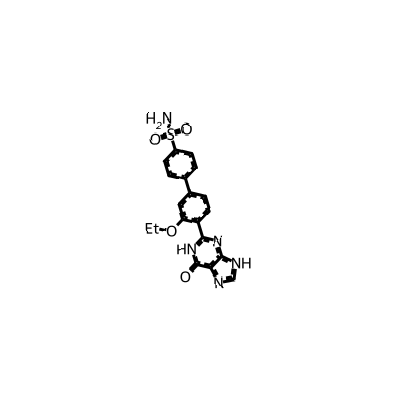 CCOc1cc(-c2ccc(S(N)(=O)=O)cc2)ccc1-c1nc2[nH]cnc2c(=O)[nH]1